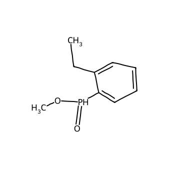 CCc1ccccc1[PH](=O)OC